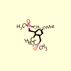 COc1cc(CP(C)(C)=O)c(C)c(CP(C)(C)=O)c1